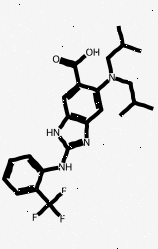 CC(C)CN(CC(C)C)c1cc2nc(Nc3ccccc3C(F)(F)F)[nH]c2cc1C(=O)O